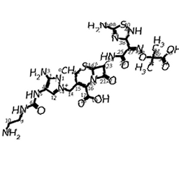 Cn1c(N)c(NC(=O)NCCN)c[n+]1CC1=C(C(=O)O)N2C(=O)[C@@H](NC(=O)/C(=N\OC(C)(C)C(=O)O)C3N=C(N)SN3)C2SC1